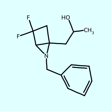 CC(O)CC12CC(F)(F)C1N2Cc1ccccc1